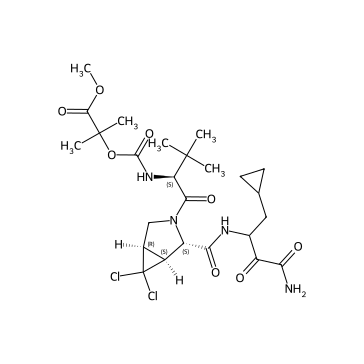 COC(=O)C(C)(C)OC(=O)N[C@H](C(=O)N1C[C@H]2[C@@H]([C@H]1C(=O)NC(CC1CC1)C(=O)C(N)=O)C2(Cl)Cl)C(C)(C)C